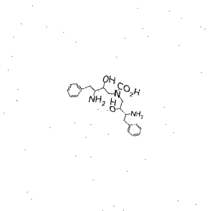 NC(Cc1ccccc1)C(O)CN(CC(O)C(N)Cc1ccccc1)C(=O)O